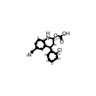 N#Cc1ccc2c(c1)C(c1ccccc1Cl)CC(OC(=O)O)N2